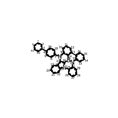 c1ccc(-c2ccc(N3c4cccc5c4B4c6c3c3ccccc3n6-c3ccccc3N4c3ccccc3-5)cc2)cc1